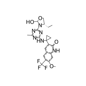 CC[C@H]1COC(O)N1c1nc(C)nc(NC2(c3cc4cc(C(F)(F)F)c(OC)cc4[nH]c3=O)CC2)n1